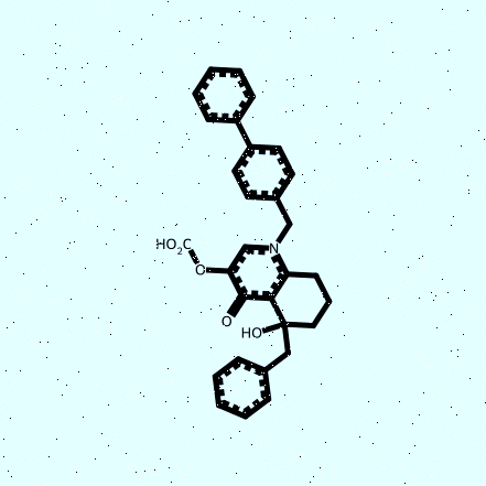 O=C(O)Oc1cn(Cc2ccc(-c3ccccc3)cc2)c2c(c1=O)C(O)(Cc1ccccc1)CCC2